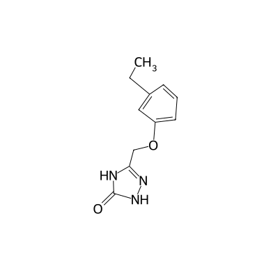 CCc1cccc(OCc2n[nH]c(=O)[nH]2)c1